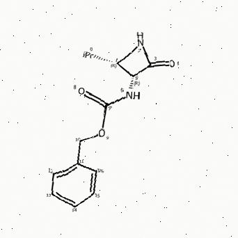 CC(C)[C@@H]1NC(=O)[C@@H]1NC(=O)OCc1ccccc1